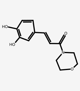 O=C(/C=C/c1ccc(O)c(O)c1)N1CCOCC1